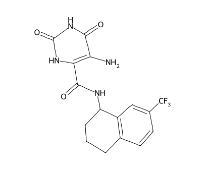 Nc1c(C(=O)NC2CCCc3ccc(C(F)(F)F)cc32)[nH]c(=O)[nH]c1=O